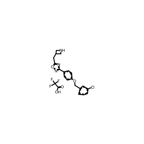 Clc1cccc(COc2ccc(-c3noc(CC4CNC4)n3)cc2)c1.O=C(O)C(F)(F)F